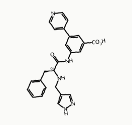 O=C(O)c1cc(NC(=O)[C@H](Cc2ccccc2)NCc2cn[nH]c2)cc(-c2ccncc2)c1